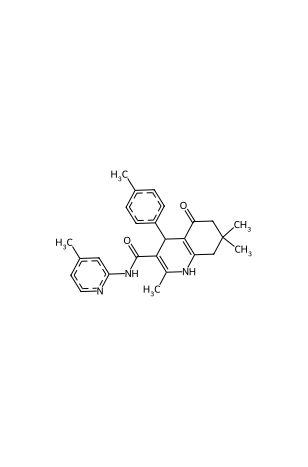 CC1=C(C(=O)Nc2cc(C)ccn2)C(c2ccc(C)cc2)C2=C(CC(C)(C)CC2=O)N1